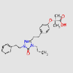 CCCn1c(CCc2ccc(OC(C)(C)C(=O)O)cc2)nn(CCc2ccccc2)c1=O